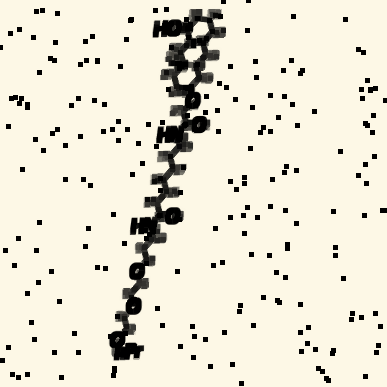 CCCOCCOCCOCCCNC(=O)CCCCCCNC(=O)CO[C@H]1CC[C@]2(C)CC3C(CCC[C@@H]3O)CC2C1